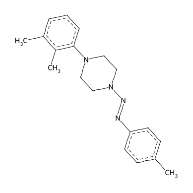 Cc1ccc(/N=N/N2CCN(c3cccc(C)c3C)CC2)cc1